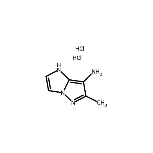 Cc1nn2cc[nH]c2c1N.Cl.Cl